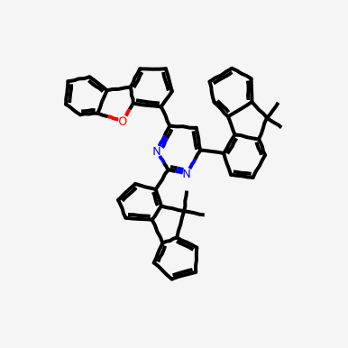 CC1(C)c2ccccc2-c2c(-c3cc(-c4cccc5c4oc4ccccc45)nc(-c4cccc5c4C(C)(C)c4ccccc4-5)n3)cccc21